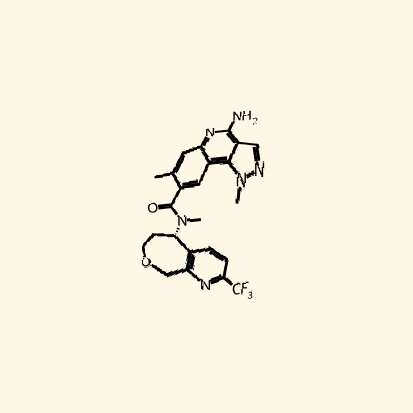 Cc1cc2nc(N)c3cnn(C)c3c2cc1C(=O)N(C)[C@H]1CCOCc2nc(C(F)(F)F)ccc21